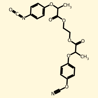 CC(Oc1ccc(N=C=O)cc1)C(=O)OCCOC(=O)C(C)Oc1ccc(OC#N)cc1